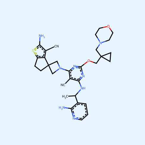 CC(Nc1nc(OCC2(CN3CCOCC3)CC2)nc(N2CC3(CCc4sc(N)c(C#N)c43)C2)c1C#N)c1cccnc1N